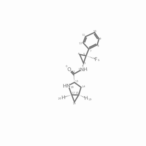 O=C(N[C@@H]1C[C@@]1(F)c1ccccc1)[C@@H]1C[C@H]2C[C@H]2N1